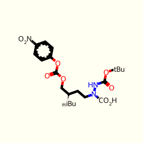 CC[C@@H](C)C(CCN(NC(=O)OC(C)(C)C)C(=O)O)COC(=O)Oc1ccc([N+](=O)[O-])cc1